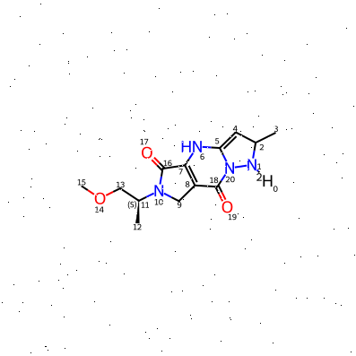 [2H]N1C(C)C=C2NC3=C(CN([C@@H](C)COC)C3=O)C(=O)N21